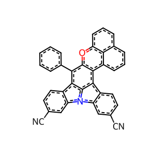 N#Cc1ccc2c3c(-c4ccccc4)c4oc5cccc6cccc(c65)c4c4c5ccc(C#N)cc5n(c2c1)c34